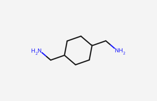 NC[C]1CCC(CN)CC1